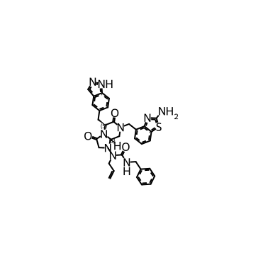 C=CCN(C(=O)NCc1ccccc1)N1CC(=O)N2[C@@H](Cc3ccc4[nH]ncc4c3)C(=O)N(Cc3cccc4sc(N)nc34)C[C@@H]21